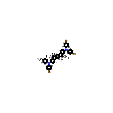 Cc1ccc(N(c2ccc(Br)cc2)c2ccc3c(c2)C(C)(C)c2cc4c(cc2-3)C(C)(C)c2cc(N(c3ccc(Br)cc3)c3ccc(Br)cc3)ccc2-4)cc1